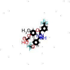 Cc1cc(OC(c2cccc(C(F)(F)F)c2)c2n[nH]c(-c3ccc(OC(F)(F)F)cc3)n2)ccc1OCC(=O)O